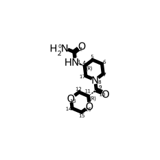 NC(=O)N[C@@H]1CCCN(C(=O)[C@H]2COCCO2)C1